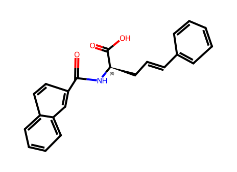 O=C(N[C@H](CC=Cc1ccccc1)C(=O)O)c1ccc2ccccc2c1